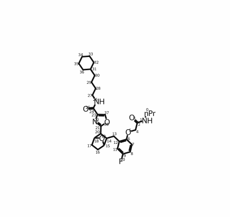 CCCNC(=O)COc1ccc(F)cc1CC1C2CCC(O2)C1c1nc(C(=O)NCCCCC2CCCCC2)co1